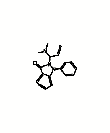 C=CC(N(C)C)n1c(=O)c2ccccc2n1-c1ccccc1